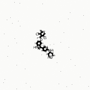 Cc1ncc(Cl)c([C@@H](C)Oc2ccc3[nH]nc(-c4ccc(NC5CCOCC5)nc4)c3c2)c1Cl